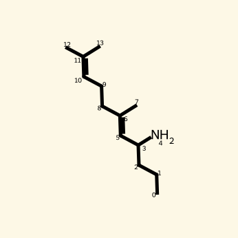 CCCC(N)/C=C(\C)CCC=C(C)C